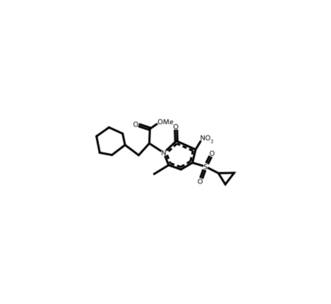 COC(=O)C(CC1CCCCC1)n1c(C)cc(S(=O)(=O)C2CC2)c([N+](=O)[O-])c1=O